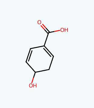 O=C(O)C1=CCC(O)C=C1